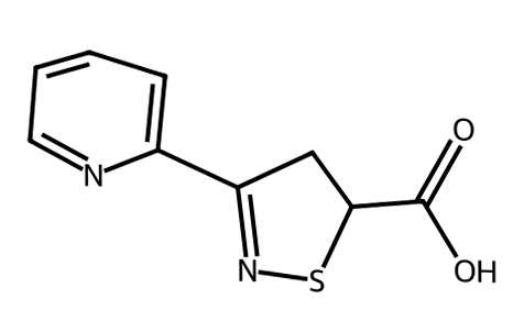 O=C(O)C1CC(c2ccccn2)=NS1